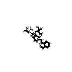 CCC(Cn1c(N(C)CC(C)N)nc2ccn(Cc3nccc4ccccc34)c(=O)c21)=C(C)C